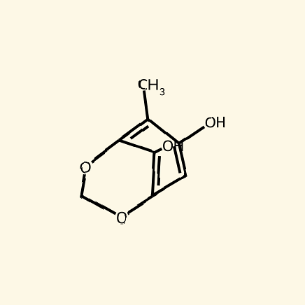 Cc1c(O)cc2c(O)c1OCO2